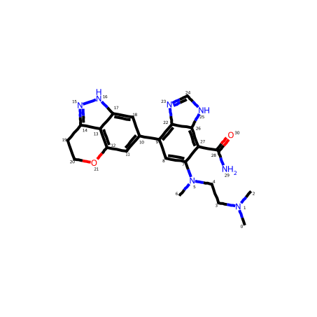 CN(C)CCN(C)c1cc(-c2cc3c4c(n[nH]c4c2)CCO3)c2nc[nH]c2c1C(N)=O